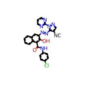 [C-]#[N+]c1cnn(-c2ncccn2)c1/N=N/c1cc2ccccc2c(C(=O)Nc2ccc(Cl)cc2)c1O